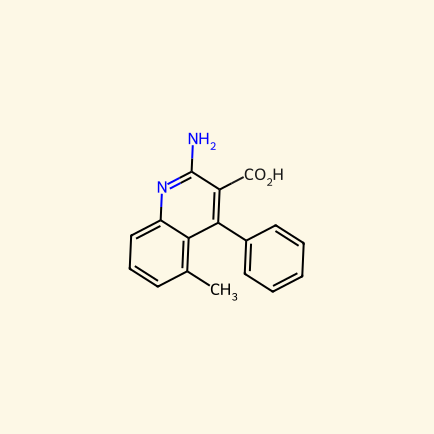 Cc1cccc2nc(N)c(C(=O)O)c(-c3ccccc3)c12